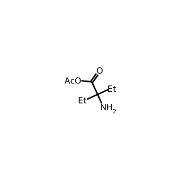 CCC(N)(CC)C(=O)OC(C)=O